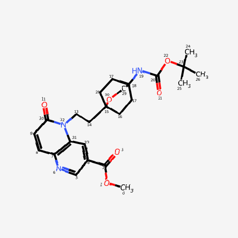 COC(=O)c1cnc2ccc(=O)n(CCC34CCC(NC(=O)OC(C)(C)C)(CC3)CO4)c2c1